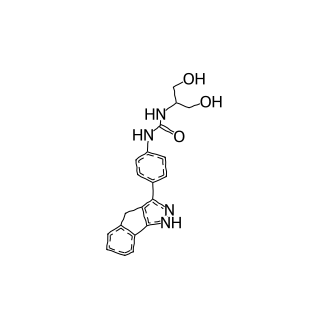 O=C(Nc1ccc(-c2n[nH]c3c2Cc2ccccc2-3)cc1)NC(CO)CO